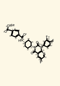 COC(=O)c1ccc(C(=O)N[C@H]2CC[C@@H](n3c(=O)c4cc(F)cnc4n(-c4ccc(F)c(F)c4)c3=O)CC2)cc1